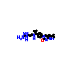 CC(C)c1cc2cn(-c3ccc([C@@H](NCCCNC(=N)N)C(C)C)cc3)c(=O)nc2[nH]1